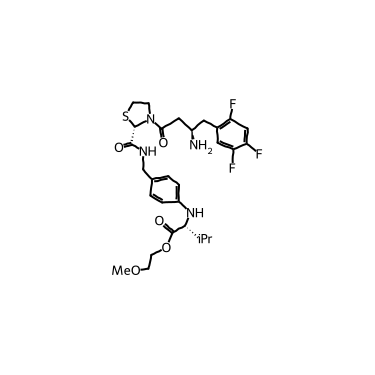 COCCOC(=O)[C@H](Nc1ccc(CNC(=O)[C@@H]2SCCN2C(=O)C[C@H](N)Cc2cc(F)c(F)cc2F)cc1)C(C)C